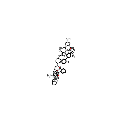 CC(C)[C@H](c1onc(O[C@H]2CC[C@H](N3CCC(c4cnc(N5C6CCC5CN(c5cc(-c7ccccc7O)nnc5N)C6)nc4)CC3)CC2)c1Cl)C(O)N1C[C@H](O)C[C@H]1C1=NO[C@@](C)(c2ccc(-c3ccccc3F)cc2)N1